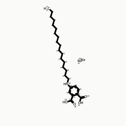 CCCCCCCCCCCCCCCCCCNc1ccc(C(=O)O)c(C(=O)O)c1.[Na].[Na]